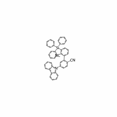 N#Cc1ccc(-n2c3ccccc3c3ccccc32)cc1-c1cccc([Si](c2ccccc2)(c2ccccc2)c2ccccc2)c1C#N